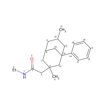 CCNC(=O)CC1(C)CC2CC(C)CC(c3ccccc3)(C2)C1